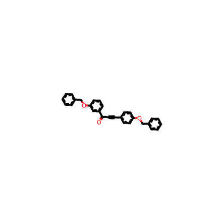 O=C(C#Cc1ccc(OCc2ccccc2)cc1)c1cccc(OCc2ccccc2)c1